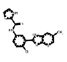 Cc1cnc2nc(-c3cc(NC(=O)c4ncc[nH]4)ccc3Cl)[nH]c2c1